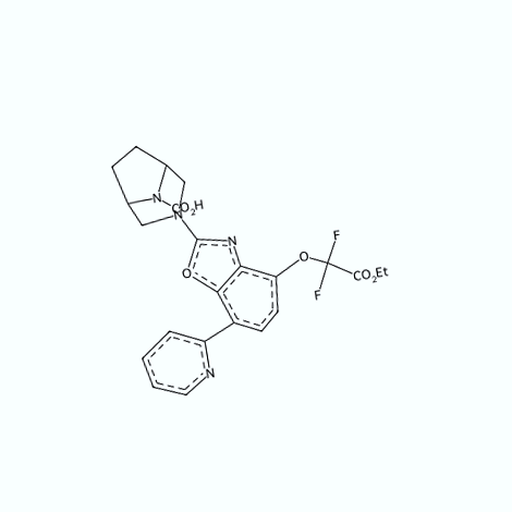 CCOC(=O)C(F)(F)Oc1ccc(-c2ccccn2)c2oc(N3CC4CCC(C3)N4C(=O)O)nc12